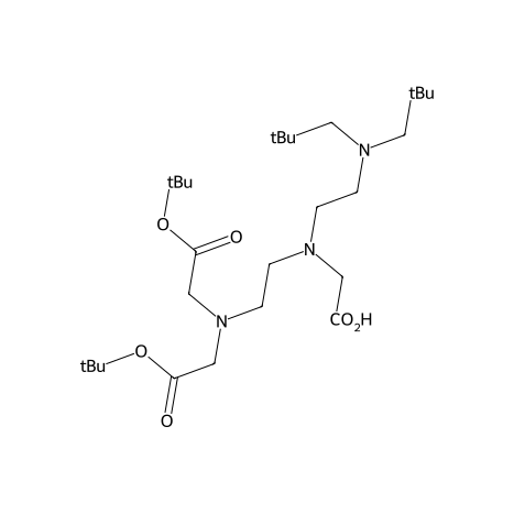 CC(C)(C)CN(CCN(CCN(CC(=O)OC(C)(C)C)CC(=O)OC(C)(C)C)CC(=O)O)CC(C)(C)C